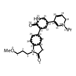 COCCCN1C(=O)Cc2cc(-c3cc(C4=CN(C(C)C)CC=C4)c[nH]c3=O)ccc21